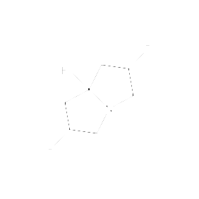 CCC12CC(F)CN1CC(F)C2